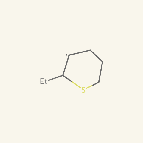 CCC1[C]CCCS1